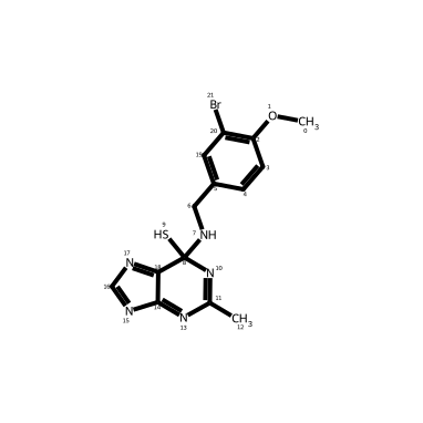 COc1ccc(CNC2(S)N=C(C)N=C3N=CN=C32)cc1Br